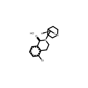 CCc1cccc2c1CCN([C@H]1CN3CCC1CC3)C2=O.Cl